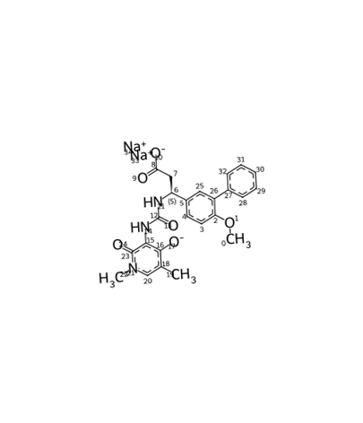 COc1ccc([C@H](CC(=O)[O-])NC(=O)Nc2c([O-])c(C)cn(C)c2=O)cc1-c1ccccc1.[Na+].[Na+]